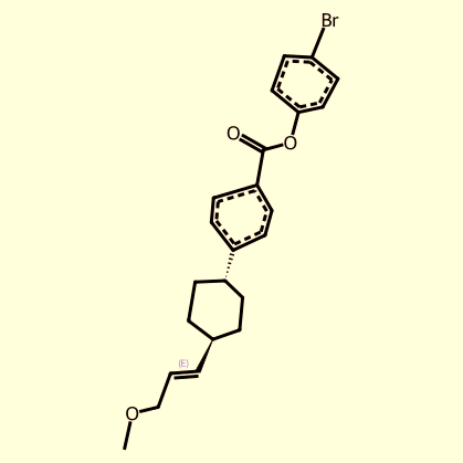 COC/C=C/[C@H]1CC[C@H](c2ccc(C(=O)Oc3ccc(Br)cc3)cc2)CC1